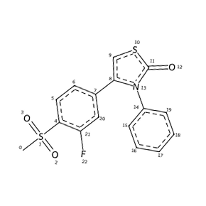 CS(=O)(=O)c1ccc(-c2csc(=O)n2-c2ccccc2)cc1F